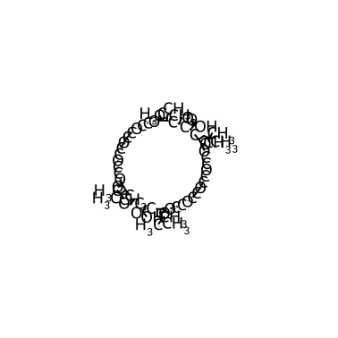 CC(C)(C)CC1CC(C(=O)O)CC(C=O)CC(C(C)(C)C)C(=O)OCCOCCOCCOCCOC(=O)C(C(C)(C)C)CC(C=O)CC(C(=O)O)CC(CC(C)(C)C)C(=O)OCCOCCOCCOCCOC1=O